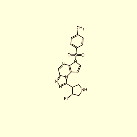 CC[C@@H]1CNCC1c1nnc2cnc3c(ccn3S(=O)(=O)c3ccc(C)cc3)n12